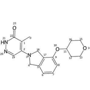 Cc1c(N2Cc3cccc(OC4CCOCC4)c3C2)cn[nH]c1=O